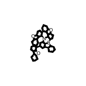 c1ccc2c(c1)B1c3ccc4oc5ccccc5c4c3N(c3cccc4oc5ccccc5c34)c3cc(-c4cccc5c4oc4ccccc45)cc-2c31